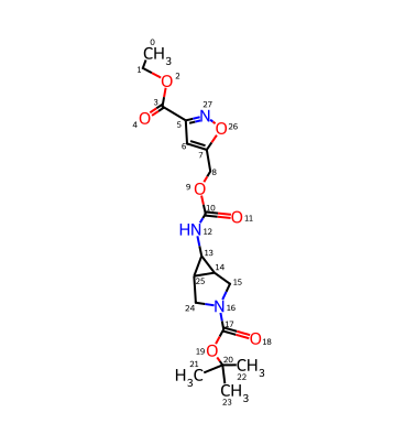 CCOC(=O)c1cc(COC(=O)NC2C3CN(C(=O)OC(C)(C)C)CC32)on1